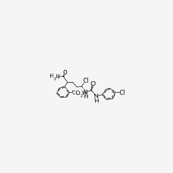 NC(=O)C(CCC(Cl)NC(=O)Nc1ccc(Cl)cc1)c1ccccc1C(=O)O